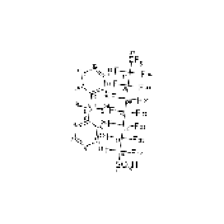 C[N+](C)(c1ccccc1)c1ccccc1.O=S(=O)(O)C(F)(F)C(F)(F)C(F)(F)C(F)(F)C(F)(F)C(F)(F)C(F)(F)C(F)(F)F